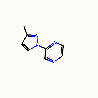 Cc1ccn(-c2cnccn2)n1